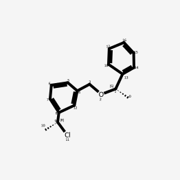 C[C@H](OCc1cccc([C@@H](C)Cl)c1)c1ccccc1